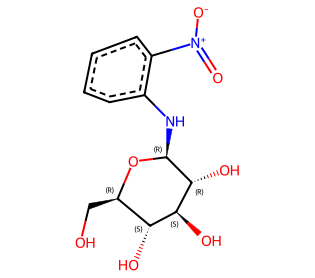 O=[N+]([O-])c1ccccc1N[C@@H]1O[C@H](CO)[C@@H](O)[C@H](O)[C@H]1O